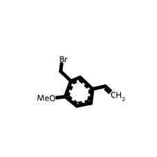 C=Cc1ccc(OC)c(CBr)c1